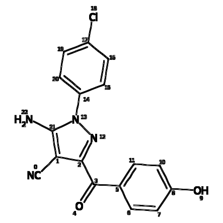 N#Cc1c(C(=O)c2ccc(O)cc2)nn(-c2ccc(Cl)cc2)c1N